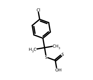 CC(C)(SC(O)=S)c1ccc(Cl)cc1